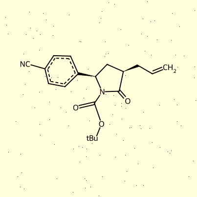 C=CC[C@@H]1C[C@H](c2ccc(C#N)cc2)N(C(=O)OC(C)(C)C)C1=O